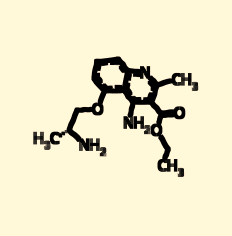 CCOC(=O)c1c(C)nc2cccc(OC[C@@H](C)N)c2c1N